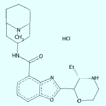 CC[C@@H]1NCCOC1c1nc2c(C(=O)NC3CC4CCCC(C3)N4C)cccc2o1.Cl